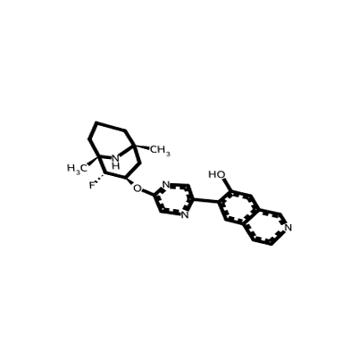 C[C@]12CCC[C@](C)(N1)[C@@H](F)[C@H](Oc1cnc(-c3cc4ccncc4cc3O)cn1)C2